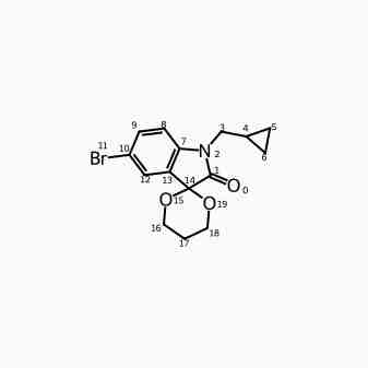 O=C1N(CC2CC2)c2ccc(Br)cc2C12OCCCO2